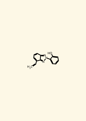 C=Cc1cccc2nn(-c3ccccc3O)nc12